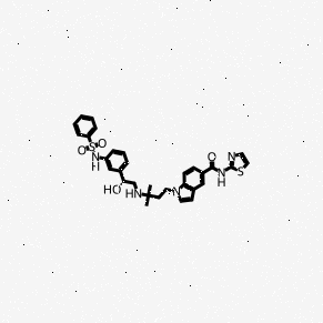 CC(C)(CCn1ccc2cc(C(=O)Nc3nccs3)ccc21)NC[C@H](O)c1cccc(NS(=O)(=O)c2ccccc2)c1